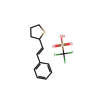 C(=C\C1CCCS1)/c1ccccc1.O=S(=O)(O)C(F)(F)F